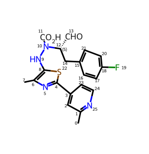 Cc1cc(-c2nc(C)c(NN(C(=O)O)[C@H](C=O)Cc3ccc(F)cc3)s2)ccn1